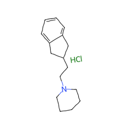 Cl.c1ccc2c(c1)CC(CCN1CCCCC1)C2